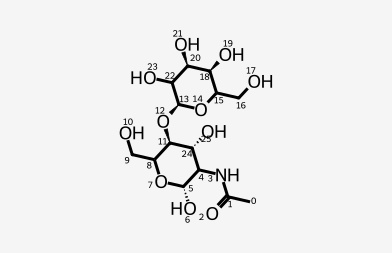 CC(=O)NC1[C@H](O)OC(CO)[C@@H](O[C@@H]2OC(CO)[C@H](O)[C@H](O)C2O)[C@@H]1O